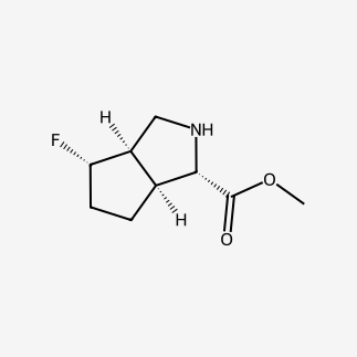 COC(=O)[C@H]1NC[C@H]2[C@@H]1CC[C@@H]2F